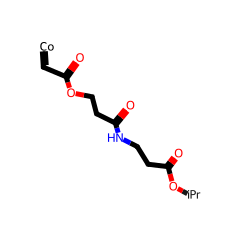 CC(C)OC(=O)CCNC(=O)CCOC(=O)[CH]=[Co]